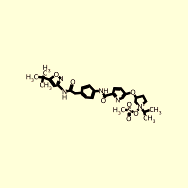 CC(C)[N+]1(OS(C)(=O)=O)CCC(Oc2ccc(C(=O)Nc3ccc(CC(=O)Nc4cc(C(C)(C)C)on4)cc3)nc2)C1